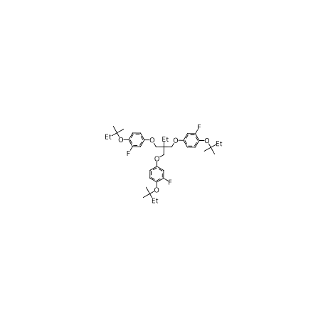 CCC(COc1ccc(OC(C)(C)CC)c(F)c1)(COc1ccc(OC(C)(C)CC)c(F)c1)COc1ccc(OC(C)(C)CC)c(F)c1